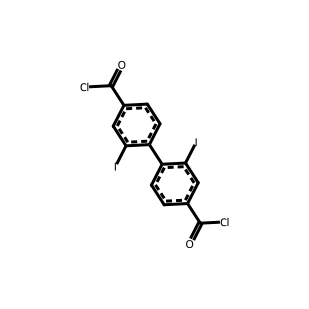 O=C(Cl)c1ccc(-c2ccc(C(=O)Cl)cc2I)c(I)c1